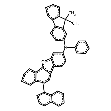 CC1(C)c2ccccc2-c2ccc(N(c3ccccc3)c3ccc4c(c3)oc3c5ccccc5c(-c5cccc6ccccc56)cc43)cc21